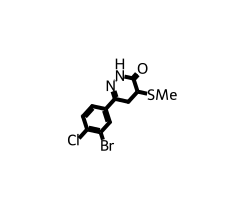 CSC1CC(c2ccc(Cl)c(Br)c2)=NNC1=O